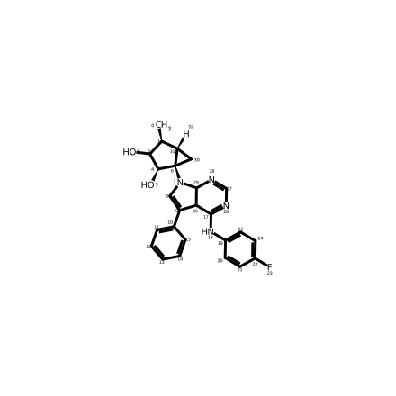 C[C@@H]1C(O)[C@H](O)[C@@]2(N3C=C(c4ccccc4)C4C(Nc5ccc(F)cc5)=NC=NC43)C[C@@H]12